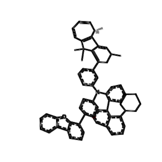 CC1C=C2C3=C(C=CC=C[C@@H]3C)C(C)(C)C2=C(c2cccc(N(c3ccc(-c4cccc5c4oc4ccccc45)cc3)c3ccccc3-c3cccc4cccc(C5CCCCC5)c34)c2)C1